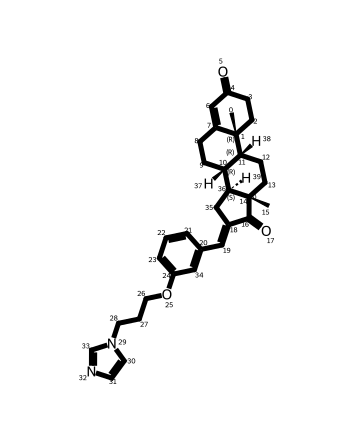 C[C@]12CCC(=O)C=C1CC[C@@H]1[C@H]2CC[C@]2(C)C(=O)C(=Cc3cccc(OCCCn4ccnc4)c3)C[C@@H]12